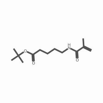 C=C(C)C(=O)NCCCCC(=O)OC(C)(C)C